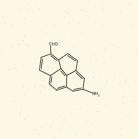 Nc1cc2ccc3ccc(C=O)c4ccc(c1)c2c34